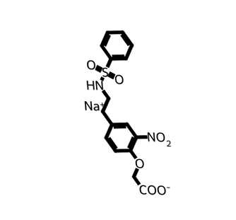 O=C([O-])COc1ccc(CCNS(=O)(=O)c2ccccc2)cc1[N+](=O)[O-].[Na+]